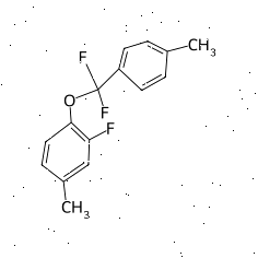 Cc1ccc(C(F)(F)Oc2ccc(C)cc2F)cc1